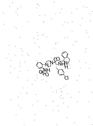 CS(=O)(=O)Nc1ccccc1N1CCN(C(=O)[C@@H](Cc2ccc(Cl)cc2)NC(=O)C2N[CH]Cc3ccccc32)CC1